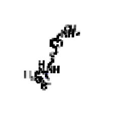 CNCc1ccc(CSCCN/C(=C/[N+](=O)[O-])NC)o1